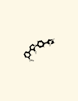 COC1C=CC=C(C2CCN(c3ccc(-c4cnco4)cc3)C2=O)C1